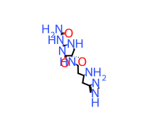 C[C@@]1(NC(=O)C[C@H](N)Cc2c[nH]cn2)CNC(NC(N)=O)=NC1=O